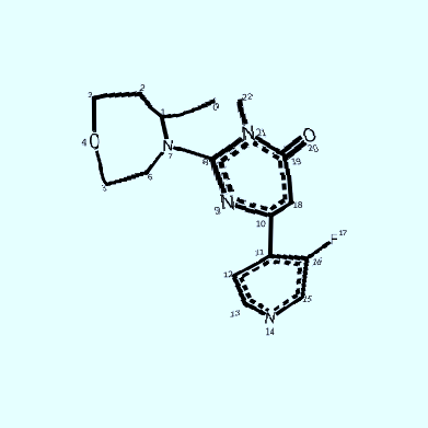 CC1CCOCCN1c1nc(-c2ccncc2F)cc(=O)n1C